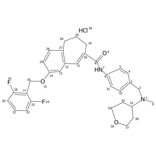 CN(Cc1ccc(NC(=O)C2=Cc3cc(OCc4c(F)cccc4F)ccc3CCC2)cc1)C1CCOCC1.Cl